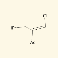 CC(=O)/C(=C/Cl)CC(C)C